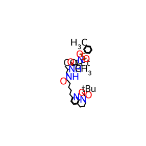 CCOC(=O)CC(CNC(=O)CCCCc1ccc2c(n1)N(C(=O)OC(C)(C)C)CCC2)NC(=O)C1(C)CN(S(=O)(=O)c2cccc(C)c2)C1